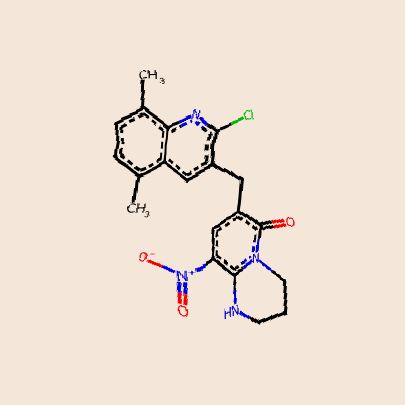 Cc1ccc(C)c2nc(Cl)c(Cc3cc([N+](=O)[O-])c4n(c3=O)CCCN4)cc12